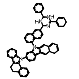 C1=CCC2C=c3c(n(-c4cccc5cc(C6N=C(C7=CCCC=C7)NC(c7ccccc7)N6)ccc45)c4cc(-n5c6c(c7ccccc75)CCc5ccccc5-6)ccc34)=CC2=C1